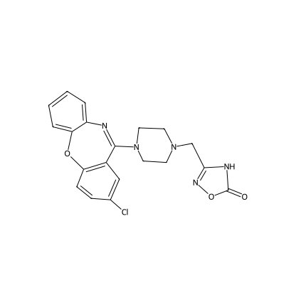 O=c1[nH]c(CN2CCN(C3=Nc4ccccc4Oc4ccc(Cl)cc43)CC2)no1